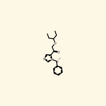 CCC(CC)OCC(=O)c1cncn1[C@H](C)c1ccccc1